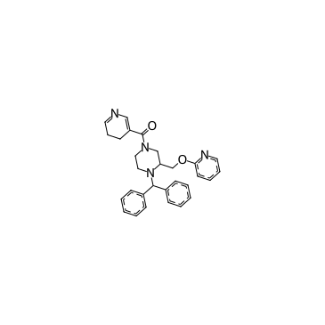 O=C(C1=CN=CCC1)N1CCN(C(c2ccccc2)c2ccccc2)C(COc2ccccn2)C1